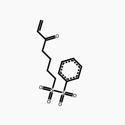 C=CC(=O)CCCCS(=O)(=O)S(=O)(=O)c1ccccc1